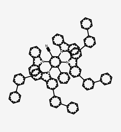 N#Cc1c(-n2c3ccccc3c3ccccc32)c(-n2c3ccc(-c4cccc(-c5ccccc5)c4)cc3c3cc(-c4cccc(-c5ccccc5)c4)ccc32)c(-c2ccccc2)c(-n2c3ccc(-c4cccc(-c5ccccc5)c4)cc3c3cc(-c4cccc(-c5ccccc5)c4)ccc32)c1-n1c2ccccc2c2ccccc21